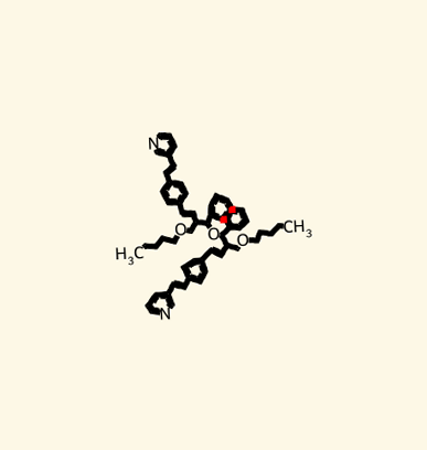 CCCCCOCC(C=Cc1ccc(C=Cc2cccnc2)cc1)C(OC(c1ccccc1)C(C=Cc1ccc(C=Cc2cccnc2)cc1)COCCCCC)c1ccccc1